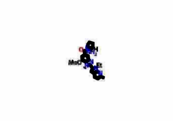 CCn1c(-c2nc3cc(C(=O)N4C[C@H]5CCC4C5N)cc(OC)c3n2C)cc2ccc(C)nc21